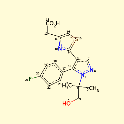 CC(C)(CO)n1ncc(-c2nc(CC(=O)O)cs2)c1-c1ccc(F)cc1